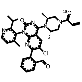 C=CC(=[18O])N1C[C@H](C)N(c2nc(=O)n(-c3c(C)ccnc3C(C)C)c3nc(-c4ccccc4C=O)c(Cl)cc23)[C@@H](C)C1